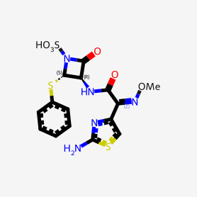 CO/N=C(\C(=O)N[C@@H]1C(=O)N(S(=O)(=O)O)[C@H]1Sc1ccccc1)c1csc(N)n1